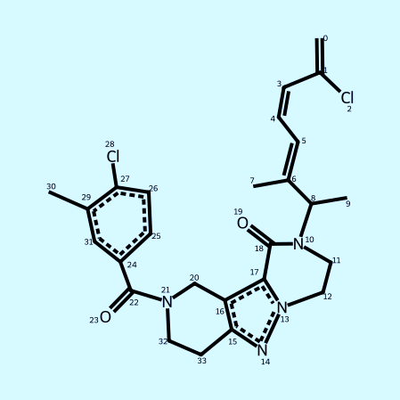 C=C(Cl)/C=C\C=C(/C)C(C)N1CCn2nc3c(c2C1=O)CN(C(=O)c1ccc(Cl)c(C)c1)CC3